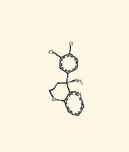 N[C@]1(c2ccc(Cl)c(Cl)c2)CCOc2cccnc21